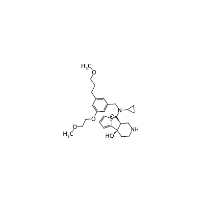 COCCCc1cc(CN(C(=O)[C@H]2CNCC[C@]2(O)c2cccs2)C2CC2)cc(OCCOC)c1